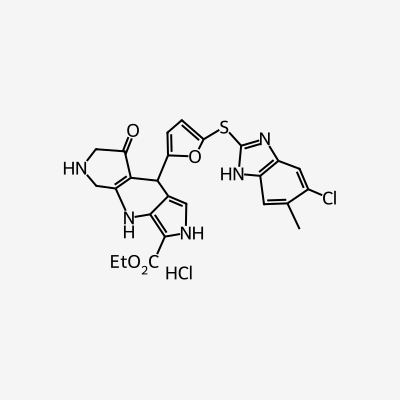 CCOC(=O)c1[nH]cc2c1NC1=C(C(=O)CNC1)C2c1ccc(Sc2nc3cc(Cl)c(C)cc3[nH]2)o1.Cl